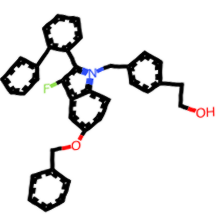 OCCc1ccc(Cn2c(-c3ccccc3-c3ccccc3)c(F)c3cc(OCc4ccccc4)ccc32)cc1